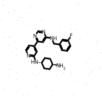 N[C@H]1CC[C@H](Nc2cc(-c3cc(NCc4cccc(F)c4)ncn3)ccn2)CC1